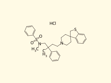 CN(CC(C)(CCN1CCC2(CC1)CSc1ccccc12)c1ccccc1)S(=O)(=O)c1ccccc1.Cl